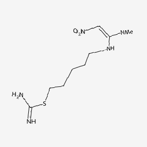 CNC(=C[N+](=O)[O-])NCCCCCSC(=N)N